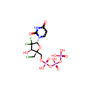 O=c1ccn([C@@H]2O[C@](CCl)(COP(=O)(O)OP(=O)(O)OP(=O)(O)O)[C@@H](O)C2(F)F)c(=O)[nH]1